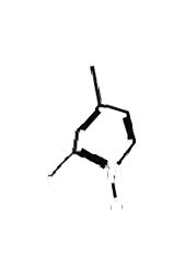 Cc1cc[n+]([O-])c(I)c1